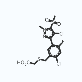 Cn1nc(-c2cc(CSCC(=O)O)c(Cl)cc2F)c(Cl)c1S(C)(=O)=O